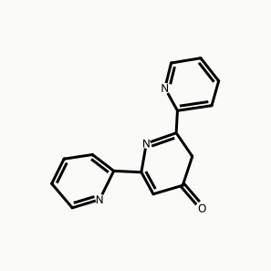 O=C1C=C(c2ccccn2)N=C(c2ccccn2)C1